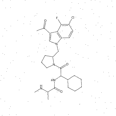 CNC(C)C(=O)NC(C(=O)N1CCCC1Cn1cc(C(C)=O)c2c(F)c(Cl)ccc21)C1CCCCC1